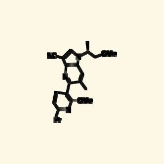 COC[C@H](C)n1cc(C#N)c2nc(-c3ccc(C(C)C)nc3OC)c(C)cc21